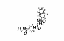 CN(CC(=O)N1CCC(C(N)=O)CC1)S(=O)(=O)c1ccc2ccccc2c1